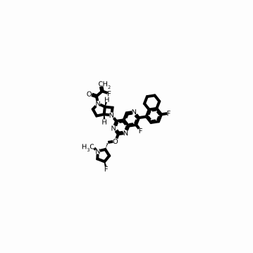 C=C(F)C(=O)N1CC[C@@H]2[C@H]1CN2c1nc(OC[C@@H]2C[C@@H](F)CN2C)nc2c(F)c(-c3ccc(F)c4c3CCCC4)ncc12